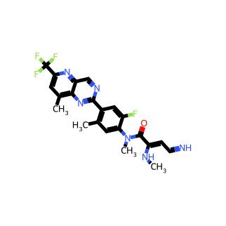 CN/C(=C\C=N)C(=O)N(C)c1cc(C)c(-c2ncc3nc(C(F)(F)F)cc(C)c3n2)cc1F